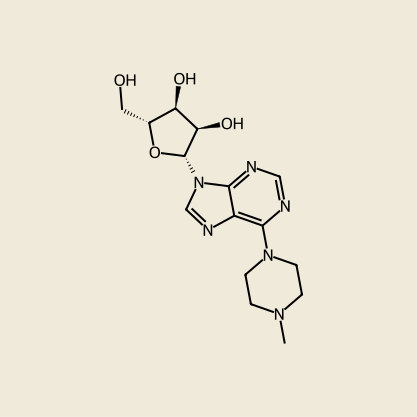 CN1CCN(c2ncnc3c2ncn3[C@@H]2O[C@H](CO)[C@@H](O)[C@H]2O)CC1